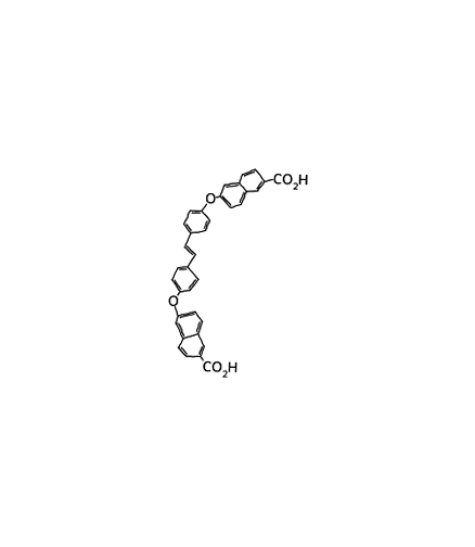 O=C(O)c1ccc2cc(Oc3ccc(/C=C/c4ccc(Oc5ccc6cc(C(=O)O)ccc6c5)cc4)cc3)ccc2c1